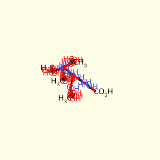 C[C@@H]1O[C@@H](OCCNCCN(CC(=O)NCCO[C@@H]2O[C@@H](C)[C@@H](O)[C@@H](O)[C@@H]2O)C(CCCCNCCN(CCNCCCCCNCCNCCNCCCCCC(=O)O)CC(=O)NCCCCCC(=O)NCCO[C@@H]2O[C@@H](C)[C@@H](O)[C@@H](O)[C@@H]2O)C(=O)NCCO[C@@H]2O[C@@H](C)[C@@H](O)[C@@H](O)[C@@H]2O)[C@@H](O)[C@H](O)[C@@H]1O